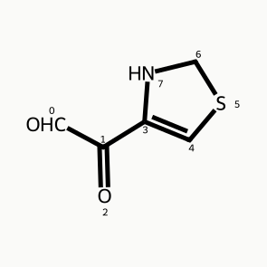 O=CC(=O)C1=CSCN1